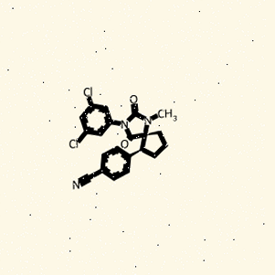 CN1C(=O)N(c2cc(Cl)cc(Cl)c2)C(=O)[C@]12CCC[C@H]2c1ccc(C#N)cc1